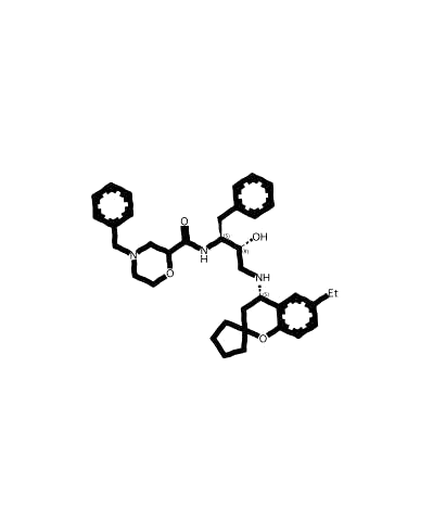 CCc1ccc2c(c1)[C@@H](NC[C@@H](O)[C@H](Cc1ccccc1)NC(=O)C1CN(Cc3ccccc3)CCO1)CC1(CCCC1)O2